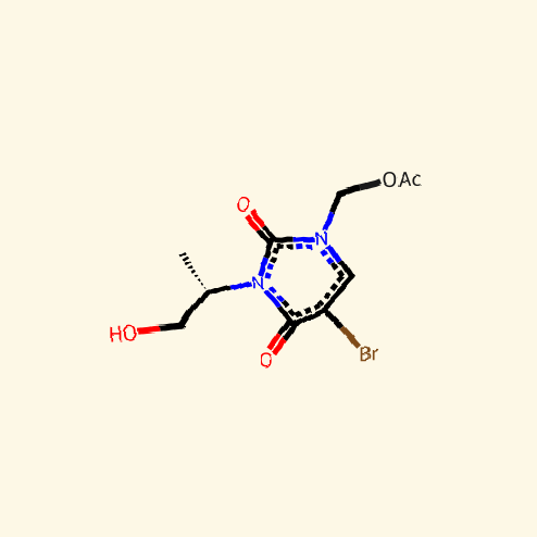 CC(=O)OCn1cc(Br)c(=O)n([C@@H](C)CO)c1=O